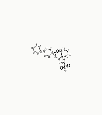 CS(=O)(=O)NCC(COC1CCC(c2ccccc2)CC1)n1ccccc1=O